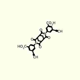 C#Cc1cc(C(=O)O)cc(N2C(=O)C3CC(C2=O)C2CC3C(=O)N(c3cc(C#C)cc(C(=O)O)c3)C2=O)c1